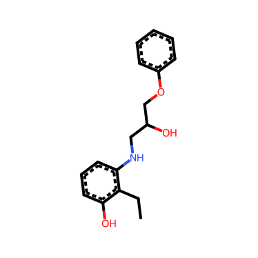 CCc1c(O)cccc1NCC(O)COc1ccccc1